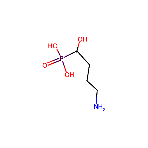 NCCC[C](O)P(=O)(O)O